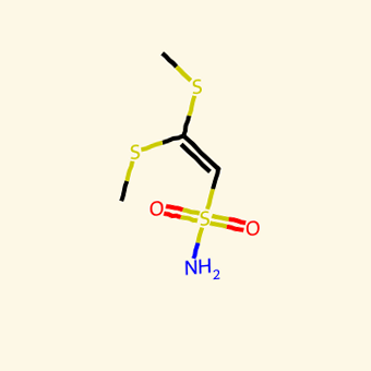 CSC(=CS(N)(=O)=O)SC